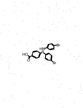 O=C(O)c1ccc(N(Nc2ccc(Br)cc2)c2ccc(Br)cc2)cc1